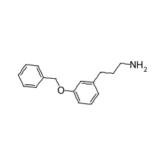 NCCCc1cccc(OCc2ccccc2)c1